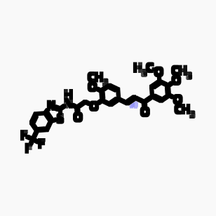 COc1ccc(/C=C/C(=O)c2cc(OC)c(OC)c(OC)c2)cc1OCC(=O)Nc1nc2ccc(C(F)(F)F)cc2s1